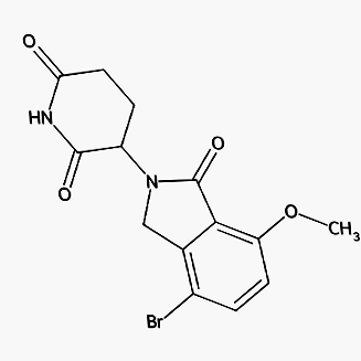 COc1ccc(Br)c2c1C(=O)N(C1CCC(=O)NC1=O)C2